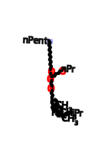 CCCCC/C=C\CCCCCCCCCCCOCC(CCCCOCCC)OCCCOCCCC[C@H]1CC[C@@]2(C)C(CC[C@H]3[C@@H]4CC[C@H]([C@H](C)CCCC(C)C)[C@@]4(C)CC[C@@H]32)C1